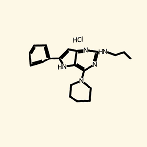 CCCNc1nc(N2CCCCC2)c2[nH]c(-c3ccccc3)cc2n1.Cl